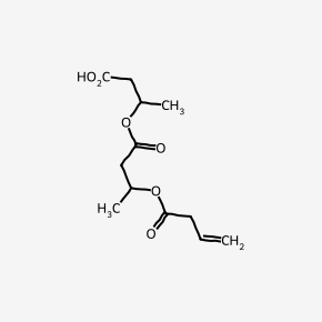 C=CCC(=O)OC(C)CC(=O)OC(C)CC(=O)O